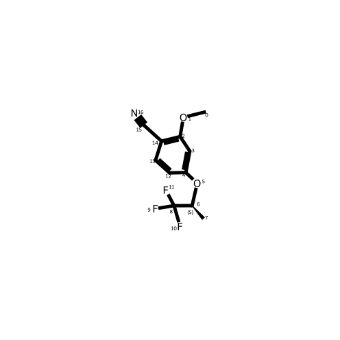 COc1cc(O[C@@H](C)C(F)(F)F)ccc1C#N